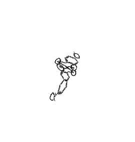 COc1ccc(S(=O)(=O)S(=O)(=O)c2ccc3cc(Cl)ccc3c2)cc1